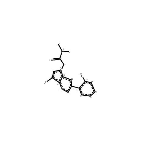 CN(C)C(=O)Cn1cc(F)c2ncc(-c3ccccc3F)cc21